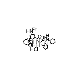 CCNc1cc(C(=O)N[C@@H](Cc2nccs2)[C@H](O)CNC2CCCCC2)cc(N2CCCCS2(O)O)c1.Cl